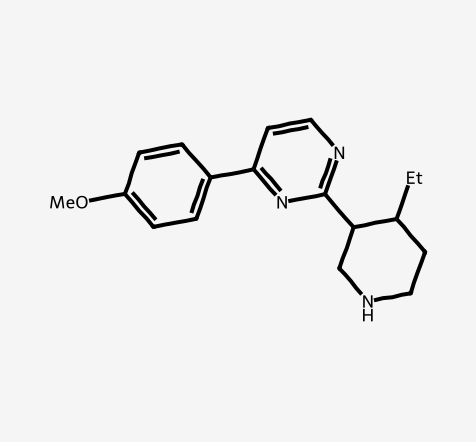 CCC1CCNCC1c1nccc(-c2ccc(OC)cc2)n1